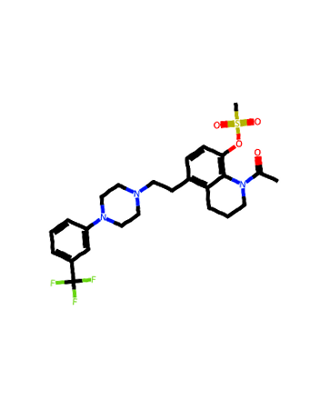 CC(=O)N1CCCc2c(CCN3CCN(c4cccc(C(F)(F)F)c4)CC3)ccc(OS(C)(=O)=O)c21